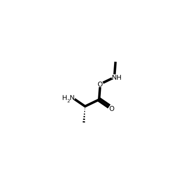 CNOC(=O)[C@H](C)N